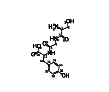 N[C@@H](CO)C(=O)NCC(=O)N[C@@H](Cc1ccc(O)cc1)C(=O)O